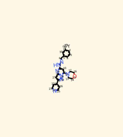 CC(C)c1cccc(C=NNc2cc(N3CCOCC3)n3nc(-c4ccncc4)cc3n2)c1